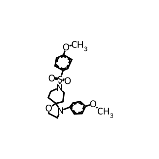 COc1ccc(N2CCOC23CCN(S(=O)(=O)c2ccc(OC)cc2)CC3)cc1